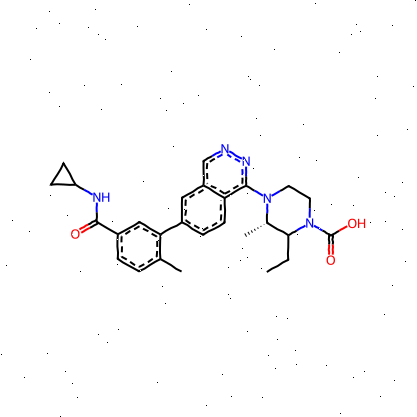 CCC1[C@H](C)N(c2nncc3cc(-c4cc(C(=O)NC5CC5)ccc4C)ccc23)CCN1C(=O)O